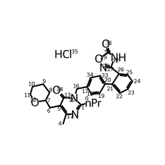 CCCc1nc(C)c(CC2CCCCO2)c(=O)n1Cc1ccc(-c2ccccc2-c2noc(=O)[nH]2)cc1.Cl